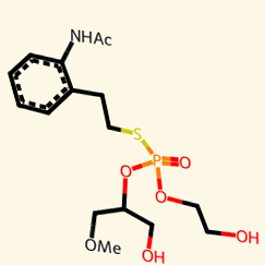 COCC(CO)OP(=O)(OCCO)SCCc1ccccc1NC(C)=O